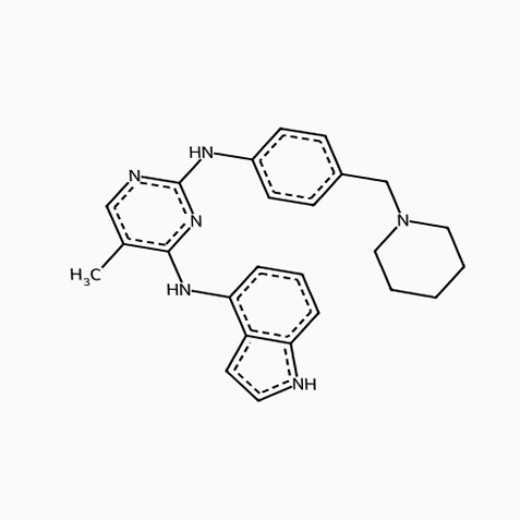 Cc1cnc(Nc2ccc(CN3CCCCC3)cc2)nc1Nc1cccc2[nH]ccc12